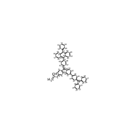 CC(C)Cc1ccc2c(c1)c1cc(-c3ccc(N(c4ccccc4)c4ccccc4)cc3)ccc1n2-c1ccc(-c2c3ccccc3c(-c3ccccc3)c3ccccc23)cc1